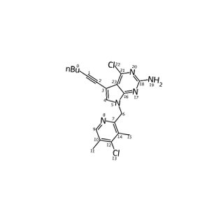 CCCCC#Cc1cn(Cc2ncc(C)c(Cl)c2C)c2nc(N)nc(Cl)c12